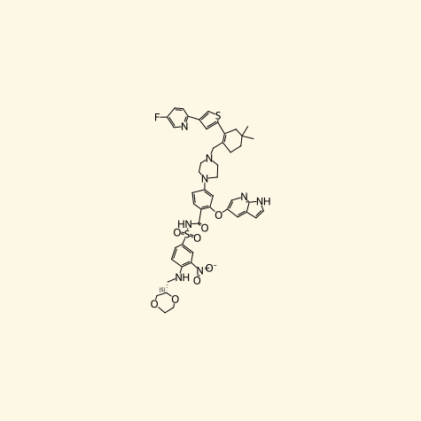 CC1(C)CCC(CN2CCN(c3ccc(C(=O)NS(=O)(=O)c4ccc(NC[C@H]5COCCO5)c([N+](=O)[O-])c4)c(Oc4cnc5[nH]ccc5c4)c3)CC2)=C(c2cc(-c3ccc(F)cn3)cs2)C1